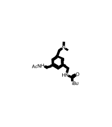 CCC(C)C(=O)NCc1cc(CNC(C)=O)cc(CN(C)C)c1